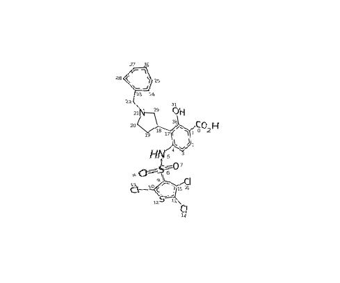 O=C(O)c1ccc(NS(=O)(=O)c2c(Cl)sc(Cl)c2Cl)c(C2CCN(Cc3ccccc3)C2)c1O